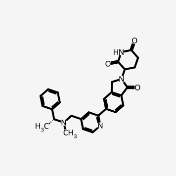 C[C@H](c1ccccc1)N(C)Cc1ccnc(-c2ccc3c(c2)CN(C2CCC(=O)NC2=O)C3=O)c1